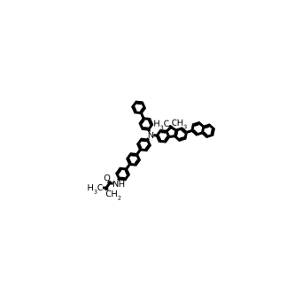 C=C(C)C(=O)Nc1ccc(-c2ccc(-c3ccc(N(c4ccc(-c5ccccc5)cc4)c4ccc5c(c4)C(C)(C)c4cc(-c6ccc7ccccc7c6)ccc4-5)cc3)cc2)cc1